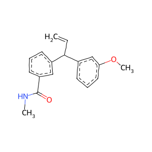 C=CC(c1cccc(OC)c1)c1cccc(C(=O)NC)c1